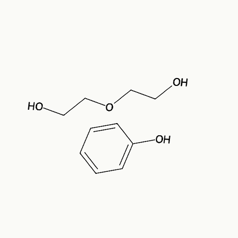 OCCOCCO.Oc1ccccc1